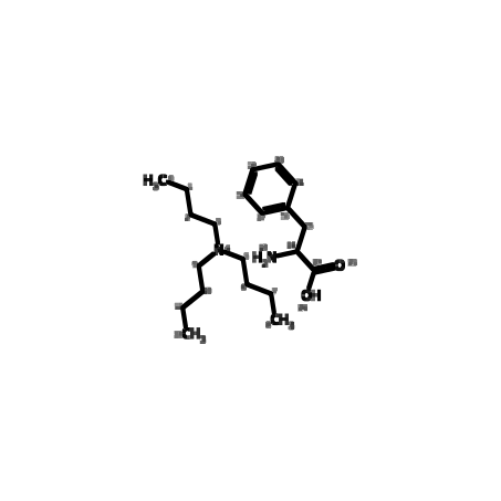 CCCCN(CCCC)CCCC.NC(Cc1ccccc1)C(=O)O